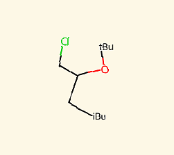 CCC(C)CC(CCl)OC(C)(C)C